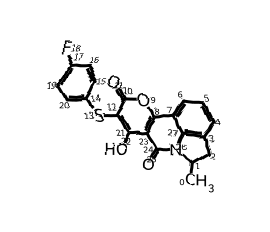 CC1Cc2cccc3c4oc(=O)c(Sc5ccc(F)cc5)c(O)c4c(=O)n1c23